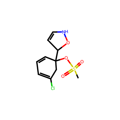 CS(=O)(=O)OC1(C2C=CNO2)C=CC=C(Cl)C1